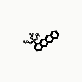 CO[Si](OC)(OC)c1cccc2cc3cc4ccccc4cc3cc12